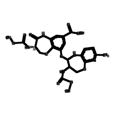 COC(=O)c1cc2c(c(OC3Nc4ccc(C)nc4OCC3NC(=O)OC(C)(C)C)c1)OC[C@H](NC(=O)OC(C)(C)C)C(=O)N2